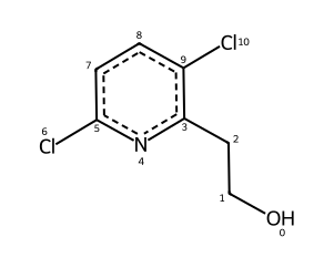 OCCc1nc(Cl)ccc1Cl